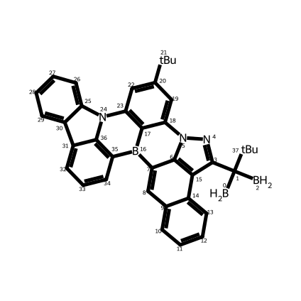 BC(B)(c1nn2c3c(cc4ccccc4c13)B1c3c-2cc(C(C)(C)C)cc3-n2c3ccccc3c3cccc1c32)C(C)(C)C